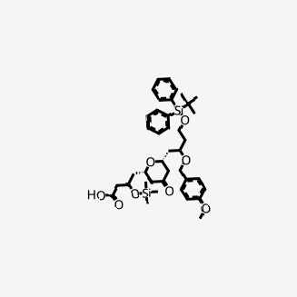 COc1ccc(COC(CCO[Si](c2ccccc2)(c2ccccc2)C(C)(C)C)C[C@@H]2CC(=O)C[C@H](CC(CC(=O)O)O[Si](C)(C)C)O2)cc1